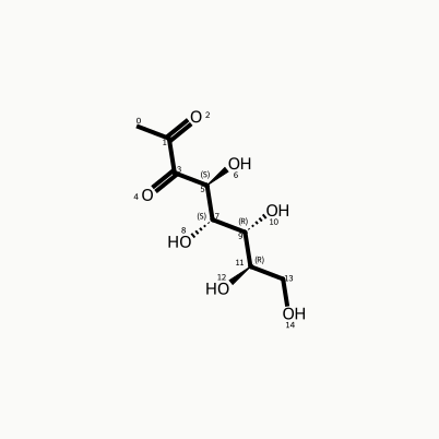 CC(=O)C(=O)[C@@H](O)[C@@H](O)[C@H](O)[C@H](O)CO